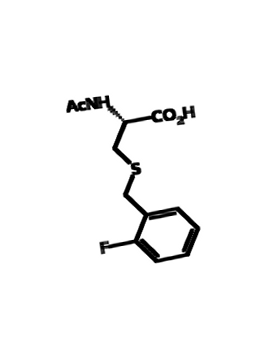 CC(=O)N[C@@H](CSCc1ccccc1F)C(=O)O